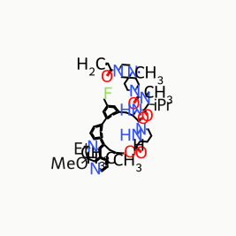 C=CC(=O)N1CCN(C)C2(CCN(C(=O)N(C)[C@H](C(=O)NC3Cc4cc(CF)cc(c4)-c4ccc5c(c4)c(c(-c4cccnc4[C@H](C)OC)n5CC)CC(C)(C)COC(=O)[C@@H]4CCCN(N4)C3=O)C(C)C)CC2)C1